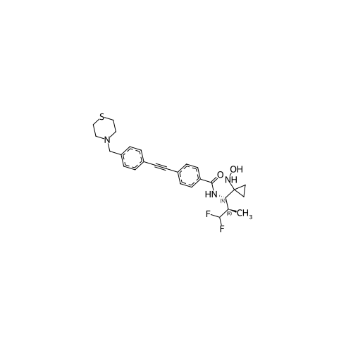 C[C@@H](C(F)F)[C@H](NC(=O)c1ccc(C#Cc2ccc(CN3CCSCC3)cc2)cc1)C1(NO)CC1